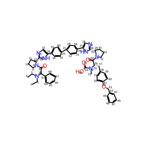 CCN(CC)[C@@H](C(=O)N1CCC[C@H]1c1ncc(-c2ccc(-c3ccc(-c4cnc([C@@H]5CCCN5C(=O)[C@H](Cc5ccc(OCc6ccccc6)cc5)N(C)C(=O)O)[nH]4)cc3)cc2)[nH]1)c1ccccc1